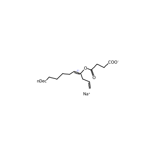 C=CC/C(=C\CCCCCCCCCCCCCC)OC(=O)CCC(=O)[O-].[Na+]